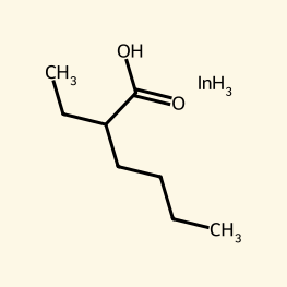 CCCCC(CC)C(=O)O.[InH3]